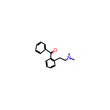 CN(C)CCc1ccc[c]c1C(=O)c1ccccc1